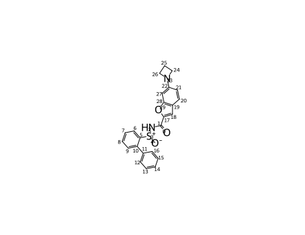 O=C(N[S+]([O-])c1ccccc1-c1ccccc1)c1cc2ccc(N3CCC3)cc2o1